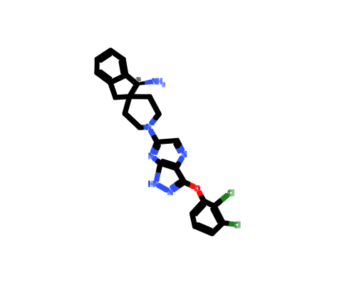 N[C@@H]1c2ccccc2CC12CCN(c1cnc3c(Oc4cccc(Cl)c4Cl)n[nH]c3n1)CC2